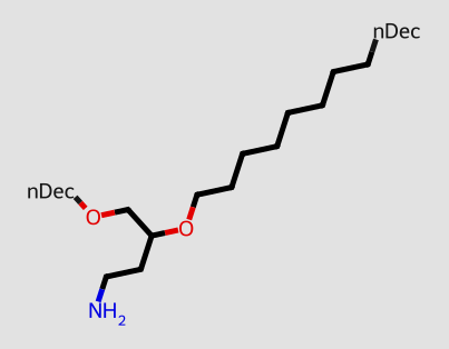 CCCCCCCCCCCCCCCCCCOC(CCN)COCCCCCCCCCC